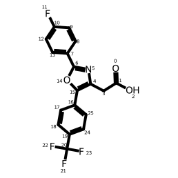 O=C(O)Cc1nc(-c2ccc(F)cc2)oc1-c1ccc(C(F)(F)F)cc1